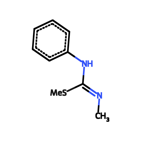 C/N=C(/Nc1ccccc1)SC